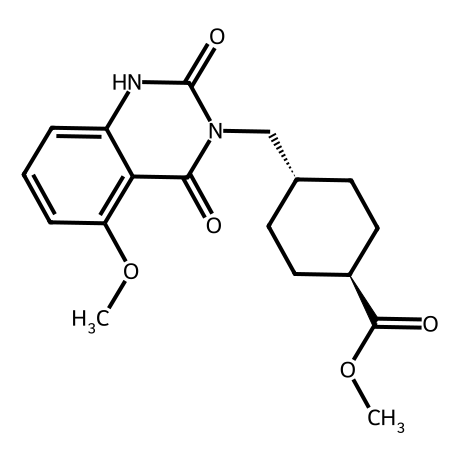 COc1cccc2[nH]c(=O)n(C[C@H]3CC[C@H](C(=O)OC)CC3)c(=O)c12